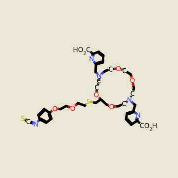 O=C(O)c1cccc(CN2CCOCCOCCN(Cc3cccc(C(=O)O)n3)CCOC(CSCCOCCOc3ccc(N=C=S)cc3)COCC2)n1